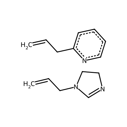 C=CCN1C=NCC1.C=CCc1ccccn1